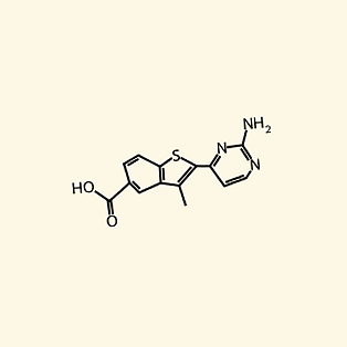 Cc1c(-c2ccnc(N)n2)sc2ccc(C(=O)O)cc12